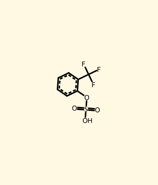 O=S(=O)(O)Oc1ccccc1C(F)(F)F